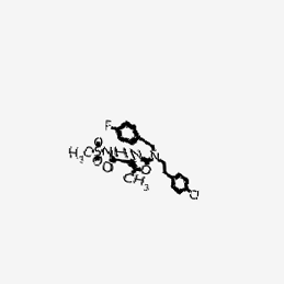 Cc1oc(N(CCc2ccc(Cl)cc2)Cc2ccc(F)cc2)nc1C(=O)NS(C)(=O)=O